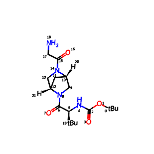 CC(C)(C)OC(=O)N[C@H](C(=O)N1C[C@@H]2C[C@H]1CN2C(=O)CN)C(C)(C)C